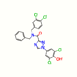 O=C(c1ncn(-c2cc(Cl)c(O)c(Cl)c2)n1)N(Cc1ccccc1)Cc1ccc(Cl)c(Cl)c1